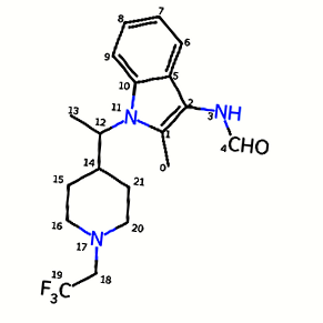 Cc1c(NC=O)c2ccccc2n1C(C)C1CCN(CC(F)(F)F)CC1